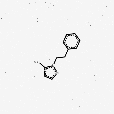 CCCCc1c[c]nn1CCc1ccccc1